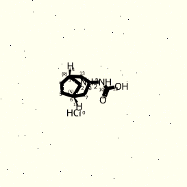 Cl.NC1[C@@H]2CC[C@H]1CC(NC(=O)O)C2